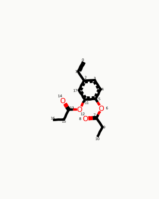 C=Cc1ccc(OC(=O)CC)c(OC(=O)CC)c1